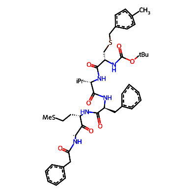 CSCC[C@H](NC(=O)[C@H](Cc1ccccc1)NC(=O)[C@@H](NC(=O)[C@H](CSCc1ccc(C)cc1)NC(=O)OC(C)(C)C)C(C)C)C(=O)[CH]NC(=O)Cc1ccccc1